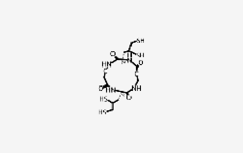 O=C1CCNC(=O)[C@H](CC(S)CS)NC(=O)CCNC(=O)[C@H](CC(S)CS)N1